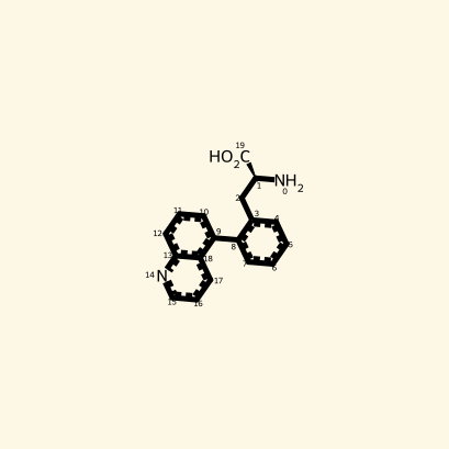 N[C@@H](Cc1ccccc1-c1cccc2ncccc12)C(=O)O